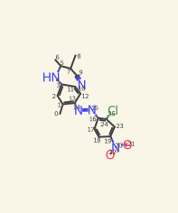 Cc1cc(NC(C)C(C)C#N)ccc1N=Nc1ccc([N+](=O)[O-])cc1Cl